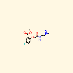 CNCCNC(=O)COc1ccc(F)cc1C(=O)OC